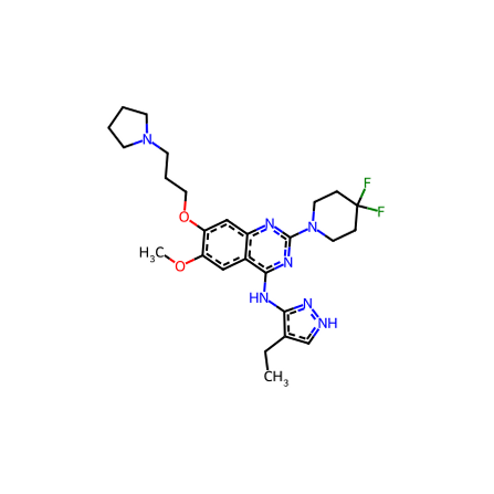 CCc1c[nH]nc1Nc1nc(N2CCC(F)(F)CC2)nc2cc(OCCCN3CCCC3)c(OC)cc12